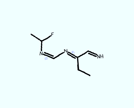 CC/C(C=N)=N\C=N/C(C)F